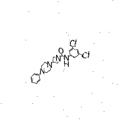 O=C(Nc1cc(Cl)cc(Cl)c1)N1CC(N2CCN(c3ccccc3)CC2)C1